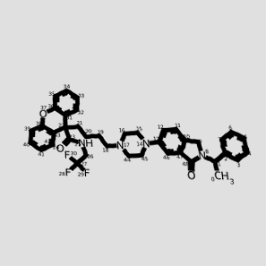 CC(c1ccccc1)N1Cc2ccc(N3CCN(CCCCC4(C(=O)NCC(F)(F)F)c5ccccc5Oc5ccccc54)CC3)cc2C1=O